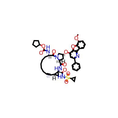 COc1cccc2c1oc1c(O[C@@H]3C[C@H]4C(=O)N[C@]5(C(=O)NS(=O)(=O)C6CC6)C[C@H]5/C=C\CCCCC[C@H](NC(=O)OC5CCCC5)C(=O)N4C3)cc(-c3ccccc3)nc12